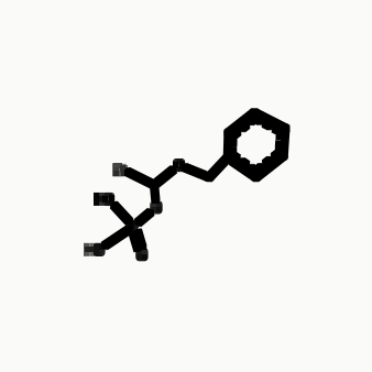 CCC(OCc1ccccc1)OP(=O)(O)O